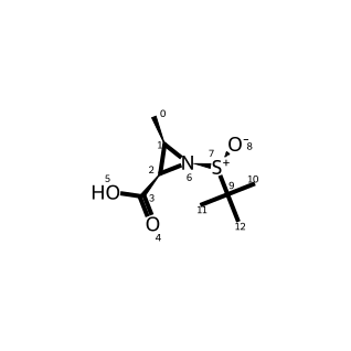 C[C@@H]1[C@H](C(=O)O)[N@]1[S@+]([O-])C(C)(C)C